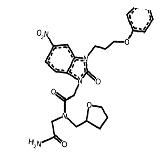 NC(=O)CN(CC1CCCO1)C(=O)Cn1c(=O)n(CCCOc2ccccc2)c2cc([N+](=O)[O-])ccc21